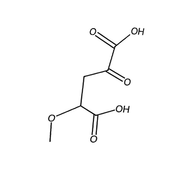 COC(CC(=O)C(=O)O)C(=O)O